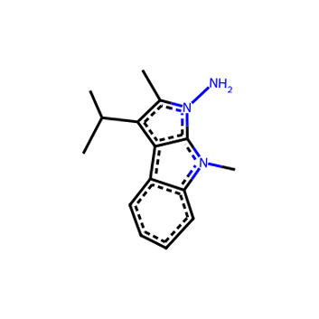 Cc1c(C(C)C)c2c3ccccc3n(C)c2n1N